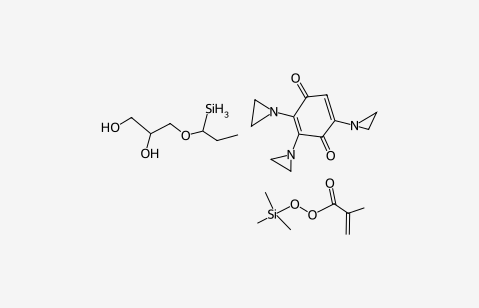 C=C(C)C(=O)OO[Si](C)(C)C.CCC([SiH3])OCC(O)CO.O=C1C=C(N2CC2)C(=O)C(N2CC2)=C1N1CC1